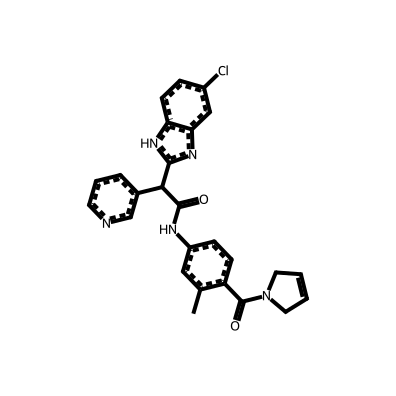 Cc1cc(NC(=O)C(c2cccnc2)c2nc3cc(Cl)ccc3[nH]2)ccc1C(=O)N1CC=CC1